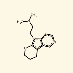 CN(C)CCn1c2c(c3cnccc31)CCCO2